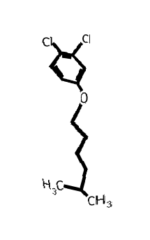 CC(C)CCCCOc1ccc(Cl)c(Cl)c1